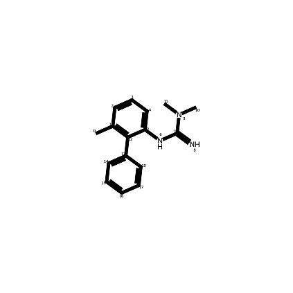 Cc1cccc(NC(=N)N(C)C)c1-c1ccccc1